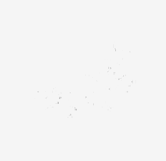 B[C@@H]1O[C@H](COP(=O)(O)OC2C(O)[C@H](B)O[C@@H]2COP(=O)(O)OC2C(O)[C@H](B)O[C@@H]2CO)C(OP(=O)(O)OI)C1O